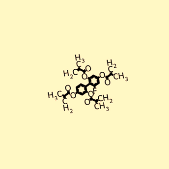 C=C(C)C(=O)Oc1ccc(-c2c(F)cc(OC(=O)C(=C)C)cc2OC(=O)C(=C)C)c(OC(=O)C(=C)C)c1